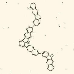 C1=CC2Cc3c(n4c5cc6cc(C7C=Cc8oc9cc%10ccccc%10cc9c8C7)ccc6cc5c5cccc3c54)C=C2C=C1c1ccc2oc3cc4ccccc4cc3c2c1